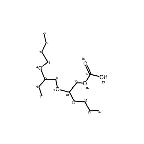 CCCCOC(CC)COC(CCCC)COC(=O)O